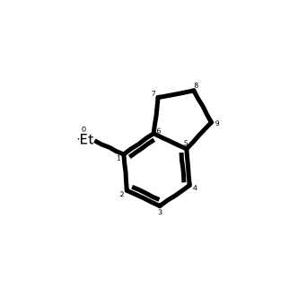 C[CH]c1cccc2c1CCC2